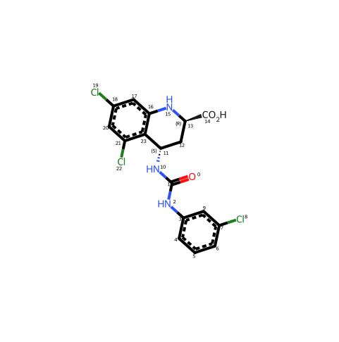 O=C(Nc1cccc(Cl)c1)N[C@H]1C[C@H](C(=O)O)Nc2cc(Cl)cc(Cl)c21